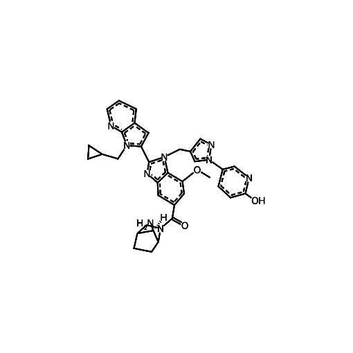 COc1cc(C(=O)N2CC3CCC2[C@@H]3N)cc2nc(-c3cc4cccnc4n3CC3CC3)n(Cc3cnn(-c4ccc(O)nc4)c3)c12